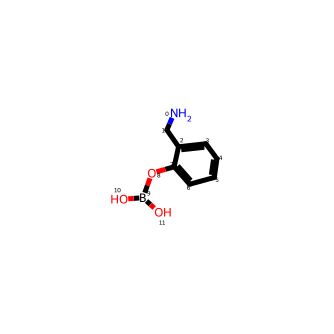 NCc1ccccc1OB(O)O